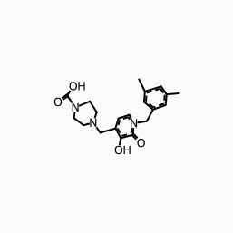 Cc1cc(C)cc(Cn2ccc(CN3CCN(C(=O)O)CC3)c(O)c2=O)c1